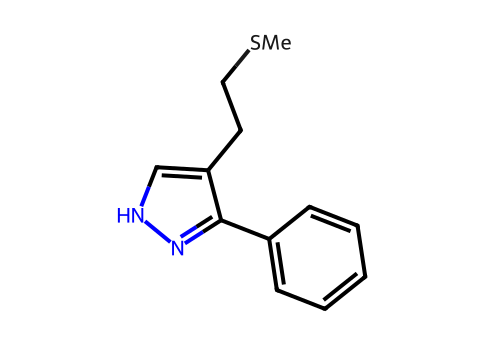 CSCCc1c[nH]nc1-c1ccccc1